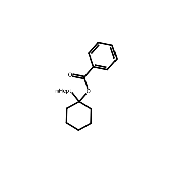 CCCCCCCC1(OC(=O)c2ccccc2)CCCCC1